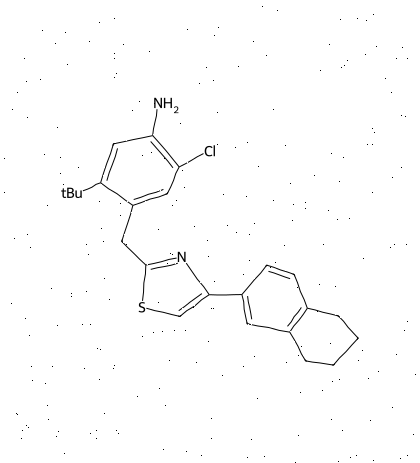 CC(C)(C)c1cc(N)c(Cl)cc1Cc1nc(-c2ccc3c(c2)CCCC3)cs1